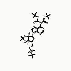 CC(C)(C)OC(=O)N(C(=O)OC(C)(C)C)c1ncnc2c1ncn2[C@@H]1O[C@H](CO[Si](C)(C)C(C)(C)C)[C@H]2OC(C)(C)O[C@H]21